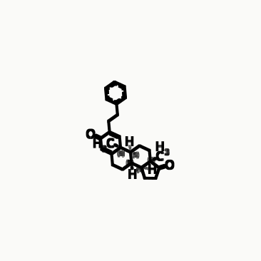 C[C@]12C=C(CCc3ccccc3)C(=O)C=C1CC[C@@H]1[C@@H]2CC[C@]2(C)C(=O)CC[C@@H]12